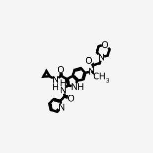 CN(C(=O)CN1CCOCC1)c1ccc2c(C(=O)NC3CC3)c(NC(=O)c3ccccn3)[nH]c2c1